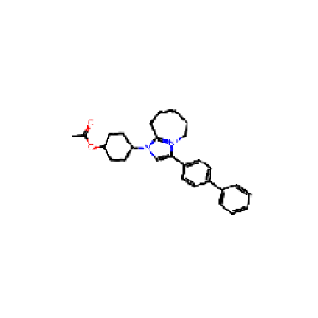 CC(=O)OC1CCC(n2cc(-c3ccc(-c4ccccc4)cc3)[n+]3c2CCCCC3)CC1